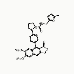 COc1cc2cc3c(c(-c4cnc(N5CCC[C@H]5C(=O)NCc5ccc(C)o5)nc4)c2cc1OC)C(=O)OC3